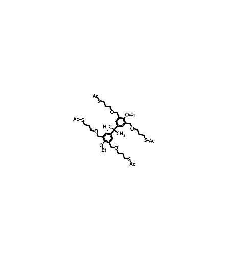 CCOc1c(COCCCSC(C)=O)cc(C(C)(C)c2cc(COCCCSC(C)=O)c(OCC)c(COCCCSC(C)=O)c2)cc1COCCCSC(C)=O